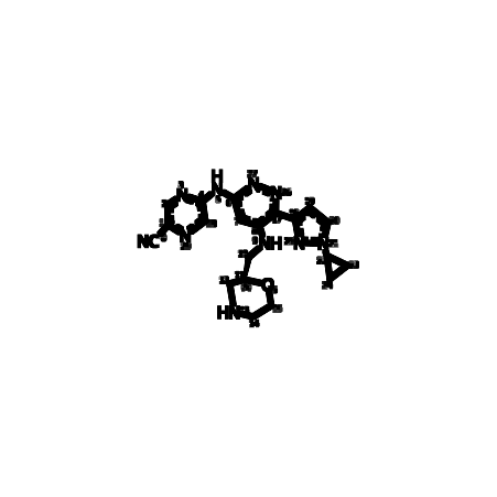 N#Cc1cnc(Nc2cc(NC[C@@H]3CNCCO3)c(-c3ccn(C4CC4)n3)nn2)cn1